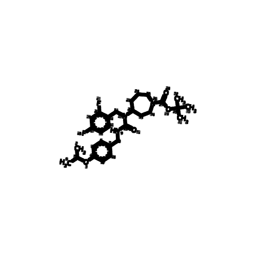 CC(C)Oc1ccc(CNC(=O)N(Cc2ccc(F)cc2F)C2CCCN(C(=O)OC(C)(C)C)CC2)cc1